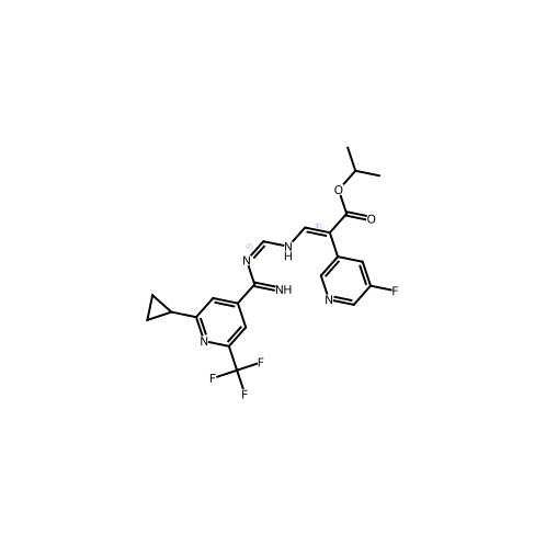 CC(C)OC(=O)/C(=C/N/C=N\C(=N)c1cc(C2CC2)nc(C(F)(F)F)c1)c1cncc(F)c1